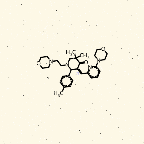 Cc1ccc(C2/C(=C/c3cccc(N4CCOCC4)n3)C(=O)C(C)(C)CN2CCN2CCOCC2)cc1